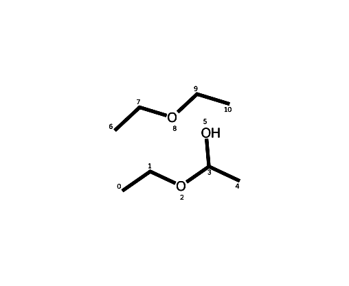 CCOC(C)O.CCOCC